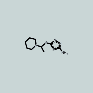 CC(Sc1nnc(N)s1)N1CCCCC1